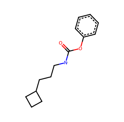 O=C([N]CCCC1CCC1)Oc1ccccc1